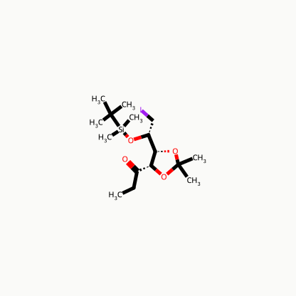 CCC(=O)[C@H]1OC(C)(C)O[C@H]1[C@@H](CI)O[Si](C)(C)C(C)(C)C